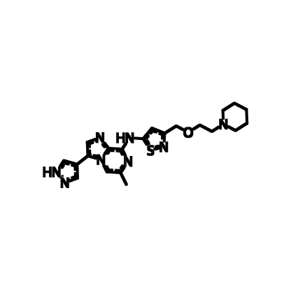 Cc1cn2c(-c3cn[nH]c3)cnc2c(Nc2cc(COCCN3CCCCC3)ns2)n1